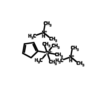 C[NH+](C)C.C[NH+](C)C.[CH3][Ti-2]([CH3])([CH3])([CH3])([CH3])[C]1=CC=CC1